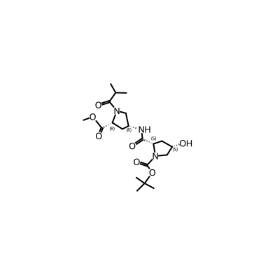 COC(=O)[C@H]1C[C@@H](NC(=O)[C@@H]2C[C@H](O)CN2C(=O)OC(C)(C)C)CN1C(=O)C(C)C